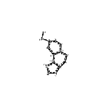 CSc1ccc2ccc3ncsc3c2c1